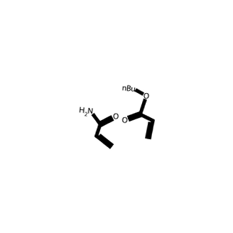 C=CC(=O)OCCCC.C=CC(N)=O